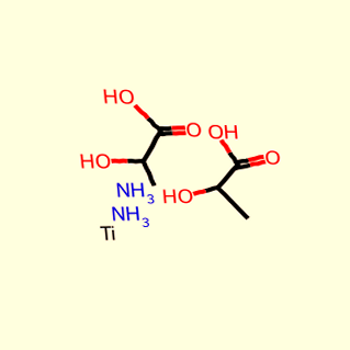 CC(O)C(=O)O.CC(O)C(=O)O.N.N.[Ti]